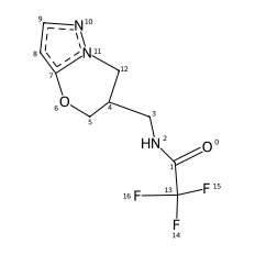 O=C(NCC1COc2ccnn2C1)C(F)(F)F